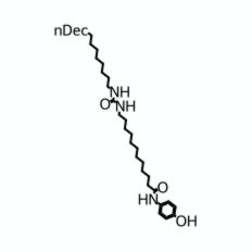 CCCCCCCCCCCCCCCCCCNC(=O)NCCCCCCCCCCCC(=O)Nc1ccc(O)cc1